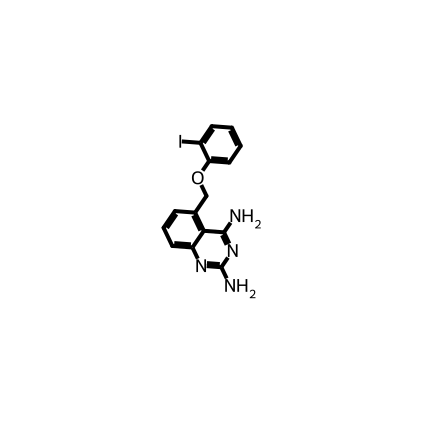 Nc1nc(N)c2c(COc3ccccc3I)cccc2n1